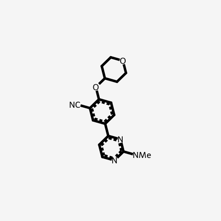 CNc1nccc(-c2ccc(OC3CCOCC3)c(C#N)c2)n1